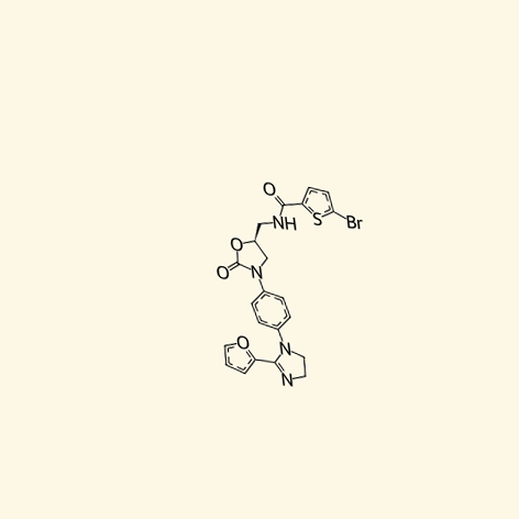 O=C(NC[C@H]1CN(c2ccc(N3CCN=C3c3ccco3)cc2)C(=O)O1)c1ccc(Br)s1